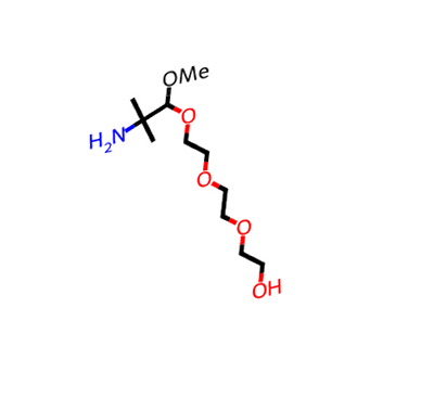 COC(OCCOCCOCCO)C(C)(C)N